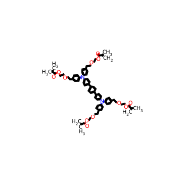 C=C(C)C(=O)OCCOCCc1ccc(N(c2ccc(CCOCCOC(=O)C(=C)C)cc2)c2ccc(-c3ccc(-c4ccc(N(c5ccc(CCOCCOC(=O)C(=C)C)cc5)c5ccc(CCOCCOC(=O)C(=C)C)cc5)cc4)cc3)cc2)cc1